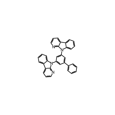 c1ccc(-c2cc(-n3c4ccccc4c4cccnc43)cc(-n3c4ccccc4c4cccnc43)c2)cc1